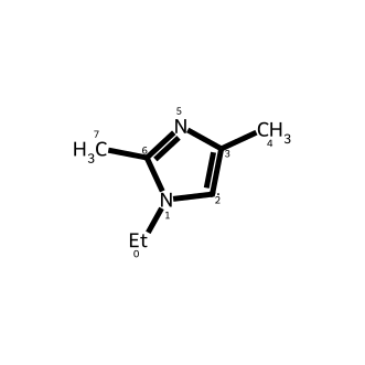 CCn1[c]c(C)nc1C